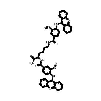 NC(=O)C(CCCCNC(=O)c1ccc(Nc2c3ccccc3nc3ccccc23)c(N=O)c1)NC(=O)c1ccc(Nc2c3ccccc3nc3ccccc23)c(N=O)c1